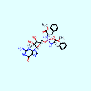 COC(=O)[C@H](Cc1ccccc1)NP(=O)(N[C@@H](Cc1ccccc1)C(=O)OC)OC[C@H]1O[C@@H](n2cnc3c(=O)[nH]c(N)nc32)C(C)(O)C1O